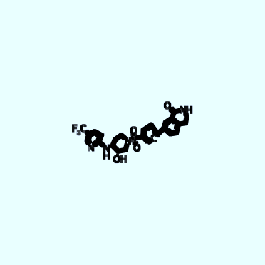 O=C1NCCc2ccc(-c3ccc(S(=O)(=O)N4CC[C@@H](Nc5ccc(C(F)(F)F)cn5)[C@@H](O)C4)cc3)cc21